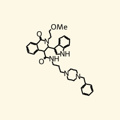 COCCN1C(=O)c2ccccc2C(C(=O)NCCCN2CCN(Cc3ccccc3)CC2)C1c1c[nH]c2ccccc12